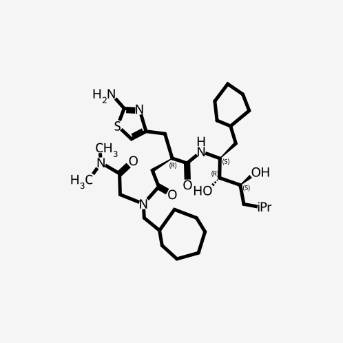 CC(C)C[C@H](O)[C@H](O)[C@H](CC1CCCCC1)NC(=O)[C@@H](CC(=O)N(CC(=O)N(C)C)CC1CCCCCC1)Cc1csc(N)n1